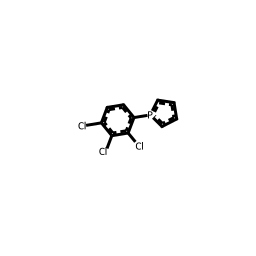 Clc1ccc(-p2cccc2)c(Cl)c1Cl